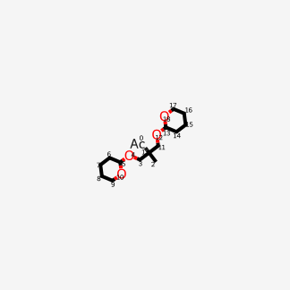 CC(=O)C(C)(COC1CCCCO1)COC1CCCCO1